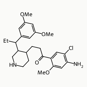 CCC(c1cc(OC)cc(OC)c1)C1CNCCC1CCC(=O)c1cc(Cl)c(N)cc1OC